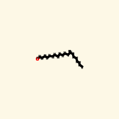 CCCCCCCC(C)CCCCCCCCCCCC=O